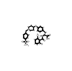 CS(=O)(=O)c1ccc(CN2CCC(Oc3ccc(C[C@H](NC(=O)c4c(Cl)cccc4Cl)C(=O)O)cc3)CC2)cc1